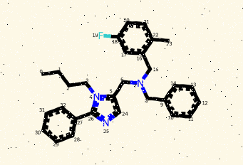 CCCCn1c(CN(Cc2ccccc2)Cc2cc(F)ccc2C)cnc1-c1ccccc1